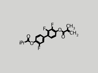 C=C(C)C(=O)Oc1ccc(-c2ccc(OC(=O)C(C)C)c(F)c2)c(F)c1F